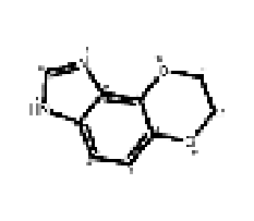 c1nc2c3c(ccc2[nH]1)OCCO3